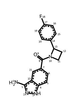 Nc1n[nH]c2ccc(C(=O)N3CCC3c3ccc(F)cc3)cc12